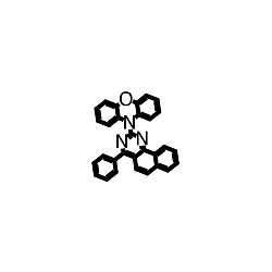 c1ccc(-c2nc(N3c4ccccc4Oc4ccccc43)nc3c2ccc2ccccc23)cc1